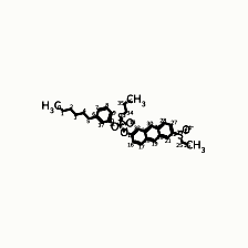 CCCCCCc1cccc(OP(=O)(Oc2ccc3cc4cc([S+]([O-])CC)ccc4cc3c2)SCCC)c1